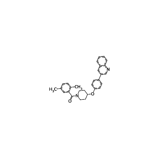 Cc1ccc(C)c(C(=O)N2CCC(Oc3ccc(-c4cnc5ccccc5c4)cc3)CC2)c1